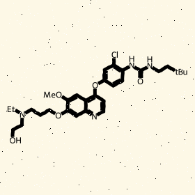 CCN(CCO)CCCOc1cc2nccc(Oc3ccc(NC(=O)NCCC(C)(C)C)c(Cl)c3)c2cc1OC